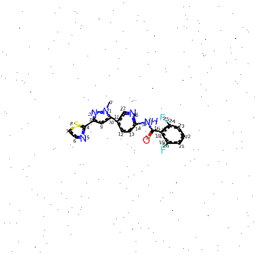 Cn1nc(-c2nccs2)cc1-c1ccc(NC(=O)c2c(F)cccc2F)nc1